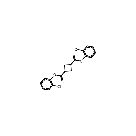 O=C(Oc1ccccc1Cl)C1CC(C(=O)Oc2ccccc2Cl)C1